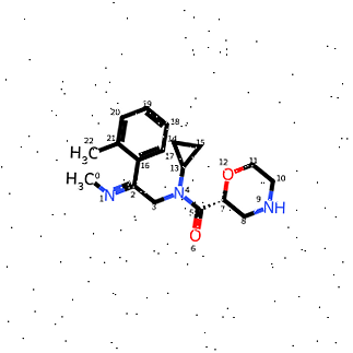 C/N=C(/CN(C(=O)[C@H]1CNCCO1)C1CC1)c1ccccc1C